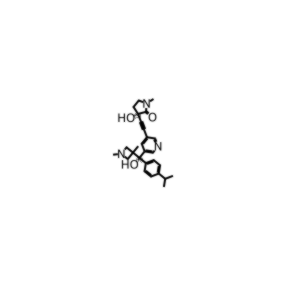 CC(C)c1ccc([C@](O)(c2cncc(C#C[C@@]3(O)CCN(C)C3=O)c2)C2(C)CN(C)C2)cc1